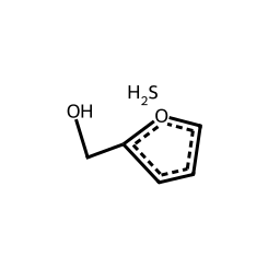 OCc1ccco1.S